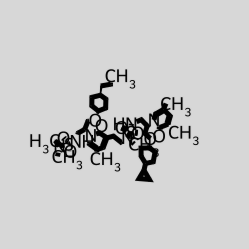 CCC[C@H]1CC[C@@H](OCC(CNS(=O)(=O)N(C)C)n2cc(C)cc(CCN(C)S(=O)(=O)NCC(COC3CCC(C4CC4)CC3)n3cc(C)cc(C)c3=O)c2=O)CC1